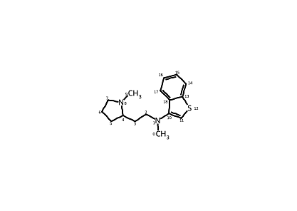 CN(CCC1CCCN1C)c1csc2ccccc12